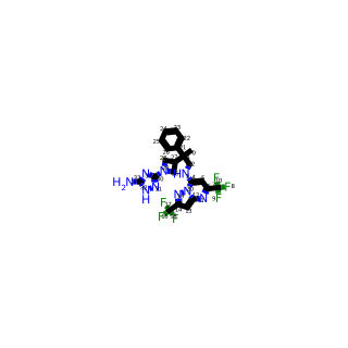 CC(CNc1cc(C(F)(F)F)nc2cc(C(F)(F)F)nn12)(c1ccccc1)C1CN(c2n[nH]c(N)n2)C1